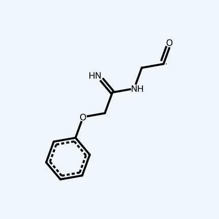 N=C(COc1ccccc1)NC[C]=O